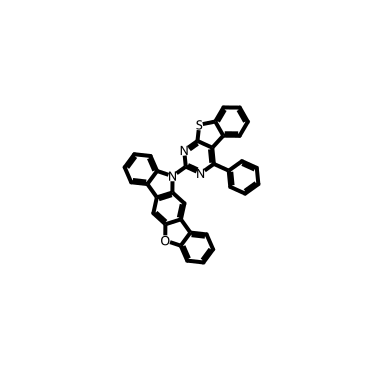 c1ccc(-c2nc(-n3c4ccccc4c4cc5oc6ccccc6c5cc43)nc3sc4ccccc4c23)cc1